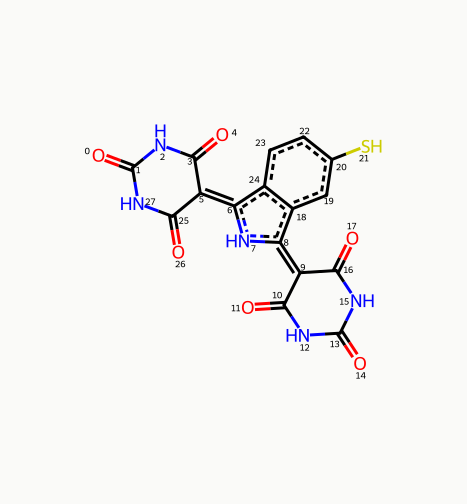 O=C1NC(=O)C(=c2[nH]c(=C3C(=O)NC(=O)NC3=O)c3cc(S)ccc23)C(=O)N1